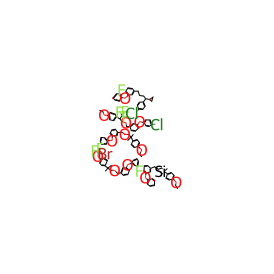 CC(C)(COCc1cccc(Oc2ccccc2)c1)c1ccc(OC(F)(F)Br)cc1.CCOc1ccc(C(C)(C)COCc2cccc(Oc3ccccc3)c2)cc1.CCOc1ccc(C(COCc2cccc(Oc3ccc(Cl)cc3)c2)C(F)(F)F)cc1.CCOc1ccc([Si](C)(C)CCCc2ccc(F)c(Oc3ccccc3)c2)cc1.Fc1ccc(CCCC(c2ccc(Cl)cc2)C2CC2)cc1Oc1ccccc1